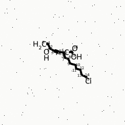 C=CC(O)C#CCCCCCCCCCCl.CC(=O)O